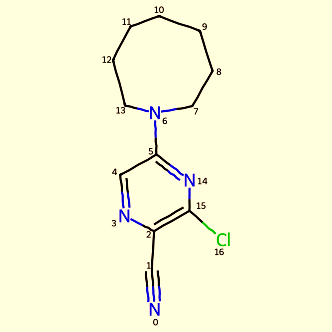 N#Cc1ncc(N2CCCCCCC2)nc1Cl